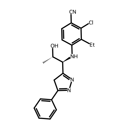 CCc1c(N[C@@H](C2=NN=C(c3ccccc3)C2)[C@H](C)O)ccc(C#N)c1Cl